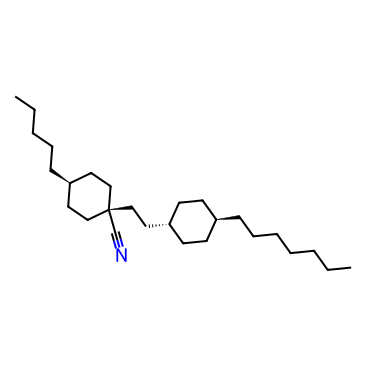 CCCCCCC[C@H]1CC[C@H](CC[C@]2(C#N)CC[C@H](CCCCC)CC2)CC1